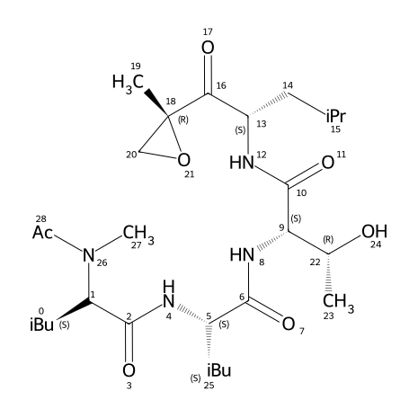 CC[C@H](C)C(C(=O)N[C@H](C(=O)N[C@H](C(=O)N[C@@H](CC(C)C)C(=O)[C@@]1(C)CO1)[C@@H](C)O)[C@@H](C)CC)N(C)C(C)=O